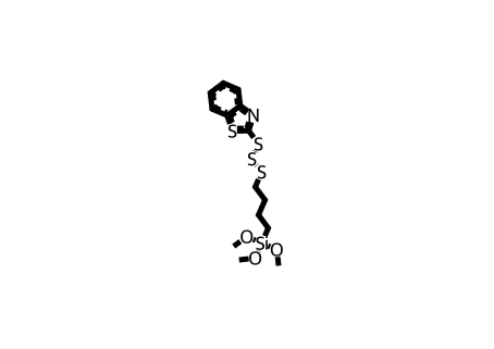 CO[Si](CCCCSSSc1nc2ccccc2s1)(OC)OC